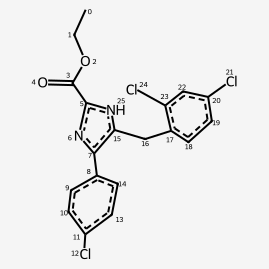 CCOC(=O)c1nc(-c2ccc(Cl)cc2)c(Cc2ccc(Cl)cc2Cl)[nH]1